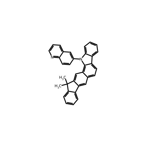 CC1(C)c2ccccc2-c2cc3ccc4c5ccccc5n(-c5ccc6ncccc6c5)c4c3cc21